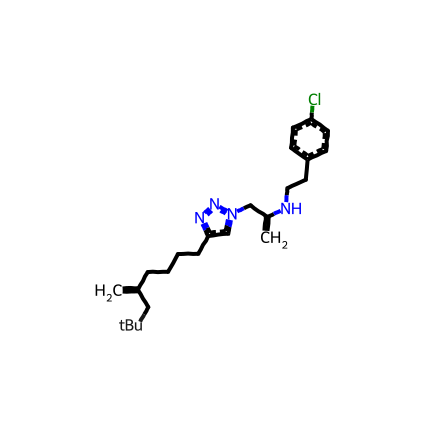 C=C(CCCCc1cn(CC(=C)NCCc2ccc(Cl)cc2)nn1)CC(C)(C)C